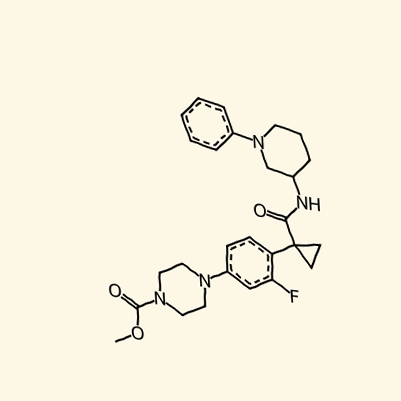 COC(=O)N1CCN(c2ccc(C3(C(=O)NC4CCCN(c5ccccc5)C4)CC3)c(F)c2)CC1